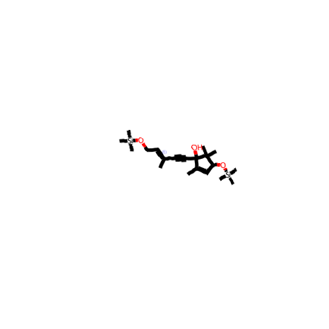 CC1=CC(O[Si](C)(C)C)C(C)(C)C1(O)C#C/C(C)=C/CO[Si](C)(C)C